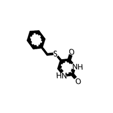 O=c1[nH]cc(SCc2ccccc2)c(=O)[nH]1